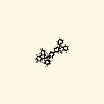 c1ccc(B2c3ccccc3Oc3cc(-c4ccc(N5B6c7ccccc7-c7ccccc7N6c6ccccc65)nc4)ccc32)cc1